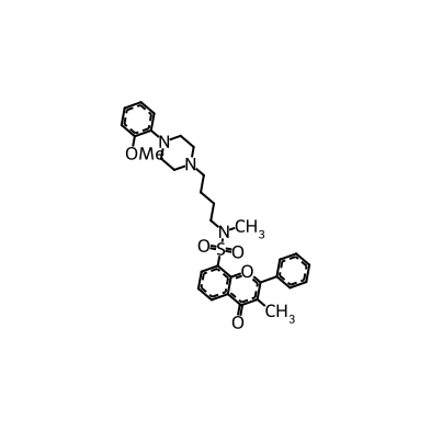 COc1ccccc1N1CCN(CCCCN(C)S(=O)(=O)c2cccc3c(=O)c(C)c(-c4ccccc4)oc23)CC1